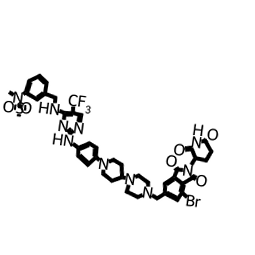 CN(c1cccc(CNc2nc(Nc3ccc(N4CCC(N5CCN(Cc6cc(Br)c7c(c6)C(=O)N(C6CCC(=O)NC6=O)C7=O)CC5)CC4)cc3)ncc2C(F)(F)F)c1)S(C)(=O)=O